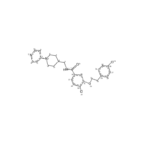 O=C(NCC1CCN(c2ccncc2)CC1)c1ccc(Cl)c(OCCc2ccc(Cl)cc2)c1